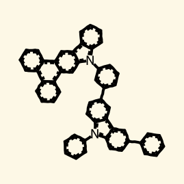 c1ccc(-c2ccc3c(c2)c2cc(-c4cccc(-n5c6ccccc6c6cc7c8ccccc8c8ccccc8c7cc65)c4)ccc2n3-c2ccccc2)cc1